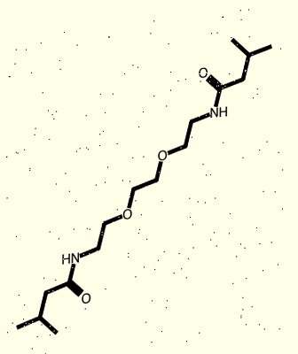 CC(C)CC(=O)NCCOCCOCCNC(=O)CC(C)C